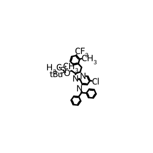 Cc1c(CC2C(CO[Si](C)(C)C(C)(C)C)N=C3C(N=C(c4ccccc4)c4ccccc4)=CC(Cl)=CN32)cccc1C(F)(F)F